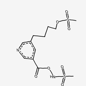 CS(=O)(=O)NOC(=O)c1cncc(CCCCOS(C)(=O)=O)c1